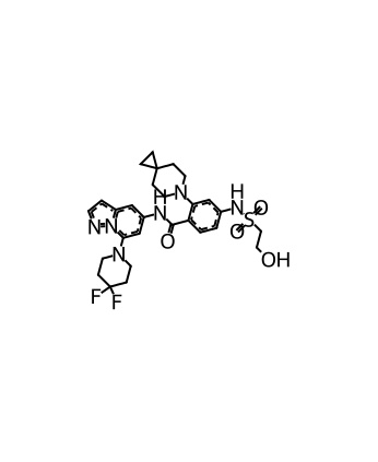 O=C(Nc1cc(N2CCC(F)(F)CC2)n2nccc2c1)c1ccc(NS(=O)(=O)CCO)cc1N1CCC2(CC1)CC2